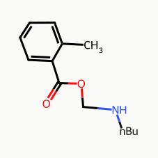 CCCCNCOC(=O)c1ccccc1C